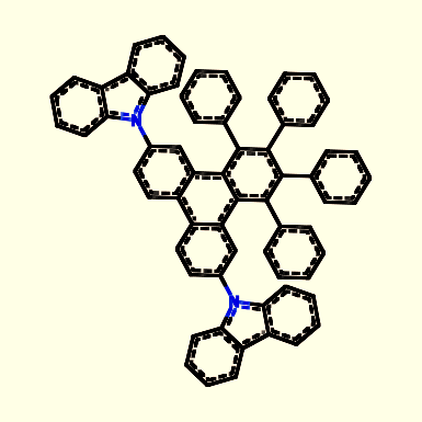 c1ccc(-c2c(-c3ccccc3)c(-c3ccccc3)c3c4cc(-n5c6ccccc6c6ccccc65)ccc4c4ccc(-n5c6ccccc6c6ccccc65)cc4c3c2-c2ccccc2)cc1